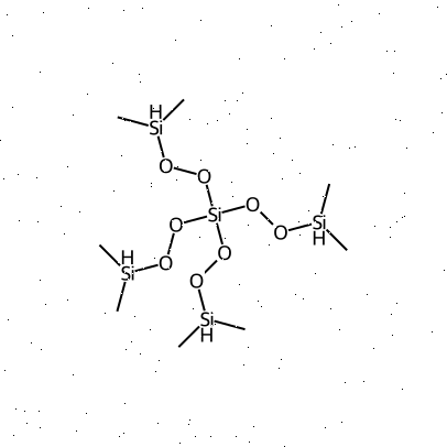 C[SiH](C)OO[Si](OO[SiH](C)C)(OO[SiH](C)C)OO[SiH](C)C